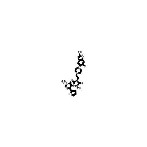 Cc1nc2cc(N3CCN(CCn4c(=O)n(C)n5c6c(nc45)N(N)CN=C6c4ccco4)CC3)c(F)cc2o1